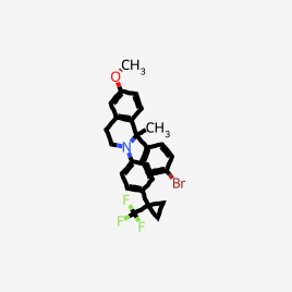 COc1ccc2c(c1)CCN(c1ccc(C3(C(F)(F)F)CC3)cc1)C2(C)c1ccc(Br)cc1